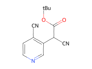 CC(C)(C)OC(=O)C(C#N)c1cnccc1C#N